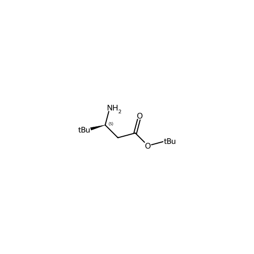 CC(C)(C)OC(=O)C[C@H](N)C(C)(C)C